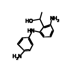 CC(O)c1c(N)cccc1Nc1ccc(N)cc1